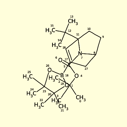 CC(C)(C)OC(=O)N1C2CCC1(C(C)(C)C)C=C(B1OC(C)(C)C(C)(C)O1)C2